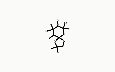 CCC1(C)CC2(OCC(C)(C)O2)C(C)C(C)(CC)N1[O]